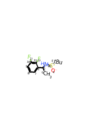 CC(N[S@@+]([O-])C(C)(C)C)c1cccc(F)c1F